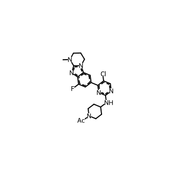 CC(=O)N1CCC(Nc2ncc(Cl)c(-c3cc(F)c4nc5n(c4c3)CCCN5C)n2)CC1